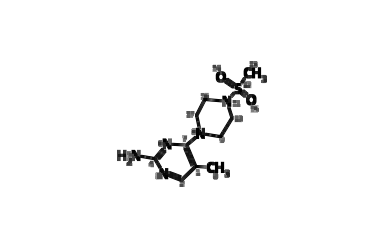 Cc1cnc(N)nc1N1CCN(S(C)(=O)=O)CC1